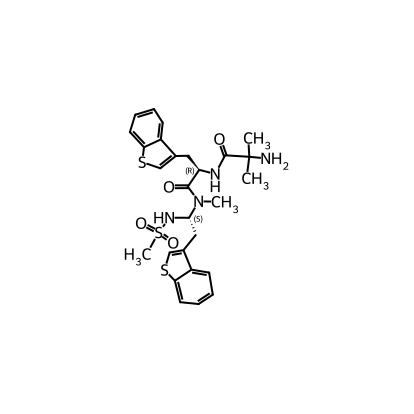 CN(C(=O)[C@@H](Cc1csc2ccccc12)NC(=O)C(C)(C)N)[C@H](Cc1csc2ccccc12)NS(C)(=O)=O